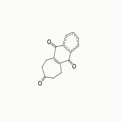 O=C1CCC2=C(CC1)C(=O)c1ccccc1C2=O